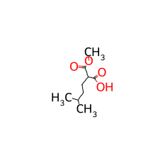 COC(=O)C(CCC(C)C)C(=O)O